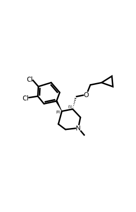 CN1CC[C@@H](c2ccc(Cl)c(Cl)c2)[C@H](COCC2CC2)C1